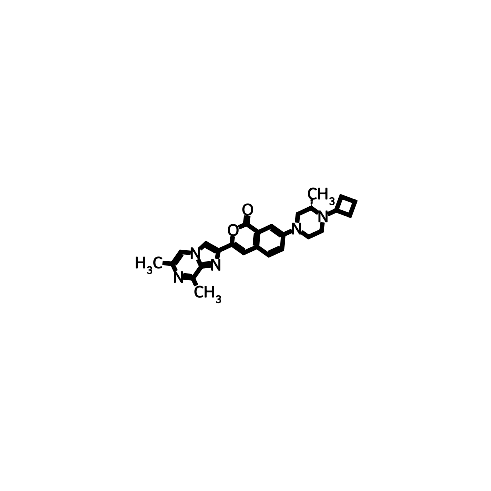 Cc1cn2cc(-c3cc4ccc(N5CCN(C6CCC6)[C@@H](C)C5)cc4c(=O)o3)nc2c(C)n1